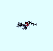 COc1ccc(CCCO)cc1C(=O)NC1C2CCC(/C2=C/C2CCCC2)C1C(=O)Nc1ccc(F)c(C(F)(F)F)c1